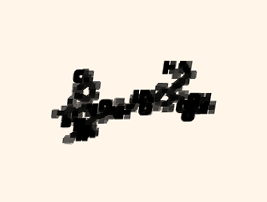 Cc1sc2c(c1C)C(c1ccc(Cl)cc1)=N[C@@H](CC(=O)NCCCC(=O)Nc1ccc(COP(=O)(O)O)c(C#CCN)c1)c1nnc(C)n1-2